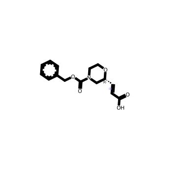 O=C(O)/C=C/[C@@H]1CN(C(=O)OCc2ccccc2)CCO1